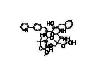 COC(=O)N[C@H](C(=O)N[C@@H](Cc1ccc(-c2ccccn2)cc1)C[C@H](O)[C@H](Cc1ccccc1)NC(=O)[C@@H](NC(=O)O)C(C)(C)CO)C(C)(C)C